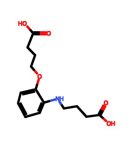 O=C(O)CCCNc1ccccc1OCCCC(=O)O